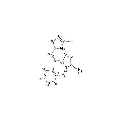 Cc1nnc2n1C1C=C(C(F)(F)F)N(Cc3ccccc3)C1C=C2